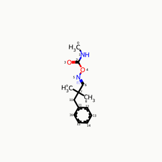 CNC(=O)O/N=C/C(C)(C)Cc1ccccc1